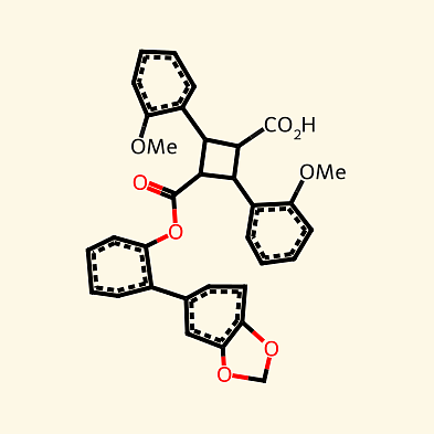 COc1ccccc1C1C(C(=O)O)C(c2ccccc2OC)C1C(=O)Oc1ccccc1-c1ccc2c(c1)OCO2